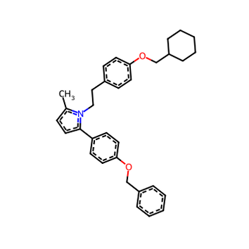 Cc1ccc(-c2ccc(OCc3ccccc3)cc2)n1CCc1ccc(OCC2CCCCC2)cc1